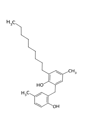 CCCCCCCCCc1cc(C)cc(Cc2cc(C)ccc2O)c1O